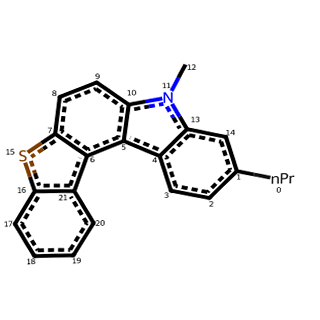 CCCc1ccc2c3c4c(ccc3n(C)c2c1)sc1ccccc14